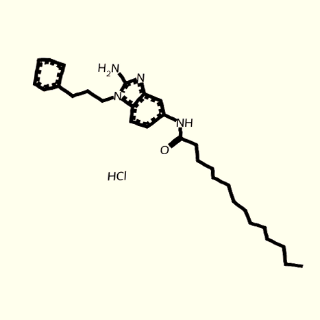 CCCCCCCCCCCCCC(=O)Nc1ccc2c(c1)nc(N)n2CCCc1ccccc1.Cl